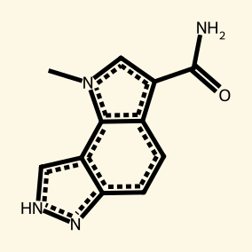 Cn1cc(C(N)=O)c2ccc3n[nH]cc3c21